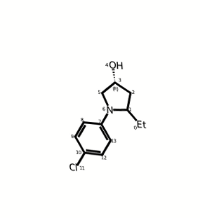 CCC1C[C@@H](O)CN1c1ccc(Cl)cc1